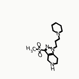 CS(=O)(=O)c1nn(CCCN2CCCCC2)c2c1CNCC2